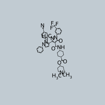 Cn1c(-c2ccnn2-c2ccc(C#N)cc2)c(C(=O)N[C@H]2CC[C@H](C(=O)OC3CC[N+](C)(C)CC3)CC2)c(=O)n1-c1cccc(C(F)(F)F)c1.c1ccccc1